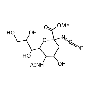 COC(=O)C1(N=[N+]=[N-])CC(O)C(NC(C)=O)C(C(O)C(O)CO)O1